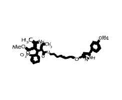 COC(=O)C1=C(C)NC(C)=C(C(=O)OCCCCCCOc2cc(-c3ccc(OC)cc3)[nH]n2)C1c1ccccc1[N+](=O)[O-]